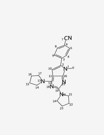 Cn1c(-c2ccc(C#N)cc2)cc2c(N3CCCC3)nc(N3CCCC3)nc21